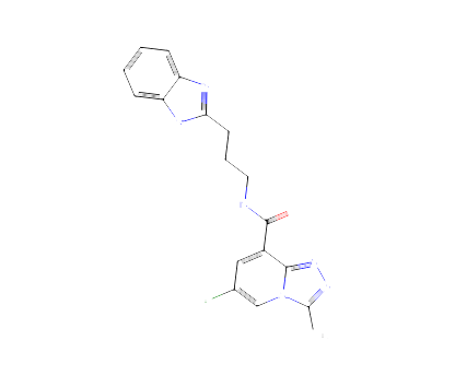 CC(C)(C)c1nnc2c(C(=O)NCCCc3nc4ccccc4[nH]3)cc(Br)cn12